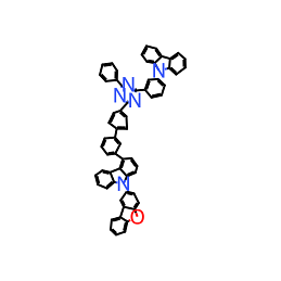 c1ccc(-c2nc(-c3ccc(-c4cccc(-c5cccc6c5c5ccccc5n6-c5ccc6oc7ccccc7c6c5)c4)cc3)nc(-c3cccc(-n4c5ccccc5c5ccccc54)c3)n2)cc1